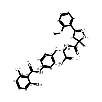 COc1ccccc1C1=NOC(C)(C(=O)N[C@@H](Cc2ccc(NC(=O)c3c(Cl)cccc3Cl)cc2)C(=O)O)C1